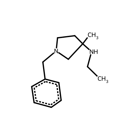 CCNC1(C)CCN(Cc2ccccc2)C1